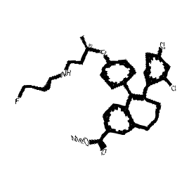 COC(=O)c1ccc2c(c1)CCCC(c1ccc(Cl)cc1Cl)=C2c1ccc(O[C@H](C)CCNCCCF)cc1